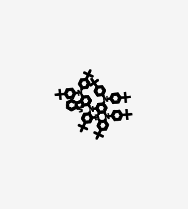 CC(C)(C)c1ccc(N(c2ccc(C(C)(C)C)cc2)c2cc3c4c(c2)N(c2ccc(N(c5ccc(C(C)(C)C)cc5)c5ccc(C(C)(C)C)cc5)c5c2sc2ccccc25)c2ccc(C(C)(C)C)cc2B4c2cc(C(C)(C)C)ccc2N3c2ccc(C(C)(C)C)cc2)cc1